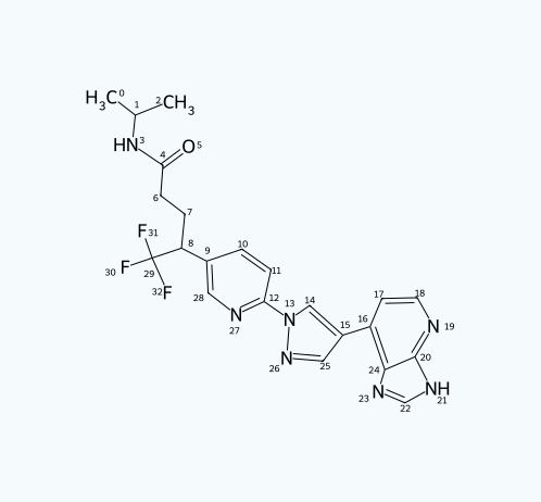 CC(C)NC(=O)CCC(c1ccc(-n2cc(-c3ccnc4[nH]cnc34)cn2)nc1)C(F)(F)F